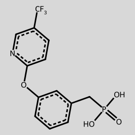 O=P(O)(O)Cc1cccc(Oc2ccc(C(F)(F)F)cn2)c1